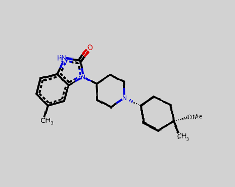 CO[C@]1(C)CC[C@H](N2CCC(n3c(=O)[nH]c4ccc(C)cc43)CC2)CC1